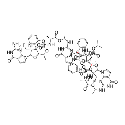 CC(C)OC(=O)[C@H](C)NP(=O)(Oc1ccccc1)O[C@@H](C)[C@H]1O[C@@H](n2ccc3c(=O)[nH]c(NC(C)OC(=O)[C@H](C)N[P@@](=O)(Oc4ccccc4)O[C@@H](C)[C@H]4O[C@@H](n5ccc6c(=O)[nH]c(NC(C)OC(=O)[C@H](C)N[P@](=O)(Oc7ccccc7)O[C@@H](C)[C@H]7O[C@@H](n8ccc9c(=O)[nH]c(N)nc98)[C@@](N)(CF)C7O)nc65)[C@@](N)(CF)C4O)nc32)[C@@](N)(CF)C1O